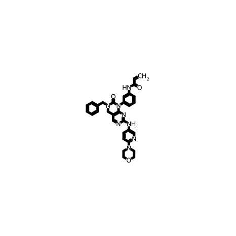 C=CC(=O)Nc1cccc(N2C(=O)N(Cc3ccccc3)Cc3cnc(Nc4ccc(N5CCOCC5)nc4)nc32)c1